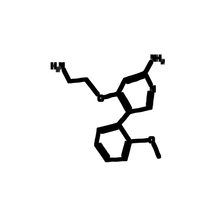 COc1ccccc1-c1cnc(N)cc1OCCN